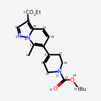 CCOC(=O)c1cnn2c(C)c(C3=CCN(C(=O)OC(C)(C)C)CC3)ccc12